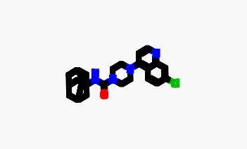 O=C(NC12CC3CC(CC(C3)C1)C2)N1CCN(c2ccnc3cc(Cl)ccc23)CC1